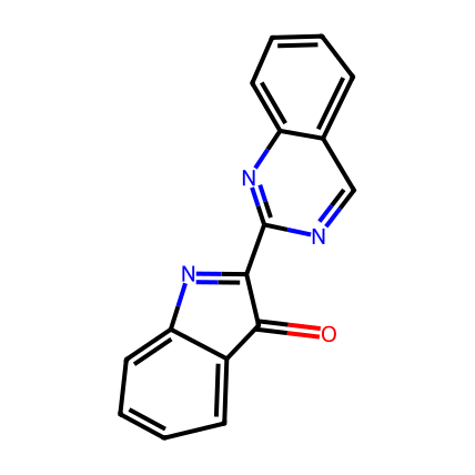 O=C1C(c2ncc3ccccc3n2)=Nc2ccccc21